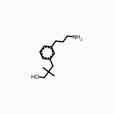 CC(C)(CO)Cc1cccc(CCCN)c1